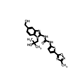 Cc1noc(-c2ccc(NC(=O)Nc3nc4cc(CO)ccc4n3CC(C)(C)O)s2)n1